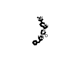 Cn1cc(-c2ccc3c(N4CCN(c5ncc(Cc6ccccc6)cn5)C(=O)C4)cnn3c2)cn1